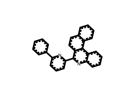 c1ccc(-c2cccc(-c3nc4ccccc4c4c3ccc3ccccc34)n2)cc1